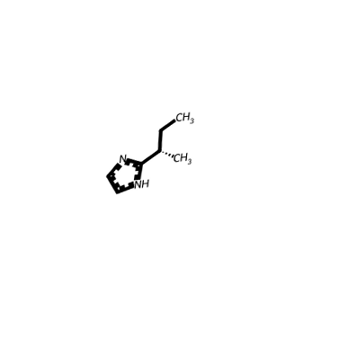 CC[C@H](C)c1ncc[nH]1